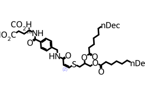 CCCCCCCCCCCCCCCC(=O)OCC(CS/C=C\C(=O)NCc1ccc(C(=O)N[C@@H](CCC(=O)O)C(=O)O)cc1)OC(=O)CCCCCCCCCCCCCCC